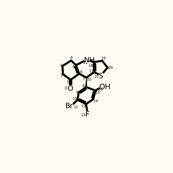 O=C1CCCC2=C1[C@H](c1cc(Br)c(F)cc1O)C1=C(CCS1)N2